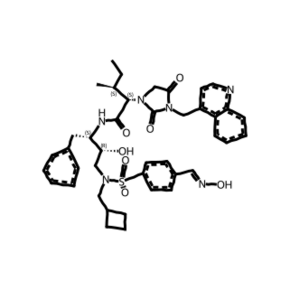 CC[C@H](C)[C@@H](C(=O)N[C@@H](Cc1ccccc1)[C@H](O)CN(CC1CCC1)S(=O)(=O)c1ccc(C=NO)cc1)N1CC(=O)N(Cc2ccnc3ccccc23)C1=O